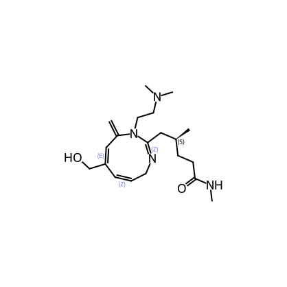 C=C1/C=C(CO)\C=C/C/N=C(/C[C@@H](C)CCC(=O)NC)N1CCN(C)C